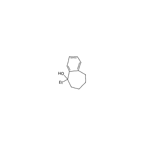 CCC1(O)CCCCc2ccccc21